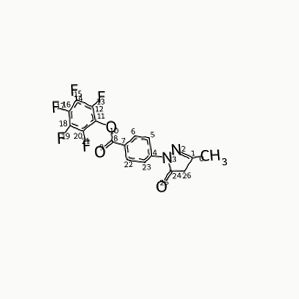 CC1=NN(c2ccc(C(=O)Oc3c(F)c(F)c(F)c(F)c3F)cc2)C(=O)C1